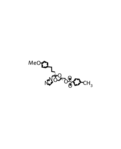 COc1ccc(CCC[C@@]2(Cn3ccnc3)OC[C@H](COS(=O)(=O)c3ccc(C)cc3)O2)cc1